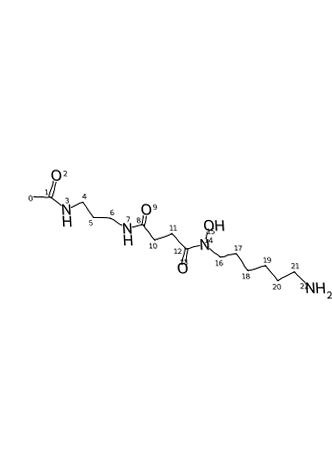 CC(=O)NCCCNC(=O)CCC(=O)N(O)CCCCCCN